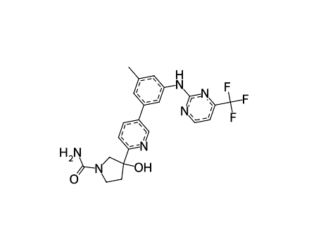 Cc1cc(Nc2nccc(C(F)(F)F)n2)cc(-c2ccc(C3(O)CCN(C(N)=O)C3)nc2)c1